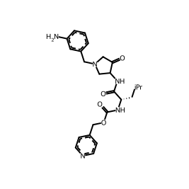 CC(C)C[C@H](NC(=O)OCc1ccncc1)C(=O)NC1CN(Cc2cccc(N)c2)CC1=O